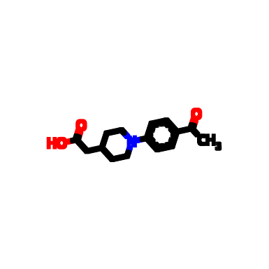 CC(=O)c1ccc(N2CCC(CC(=O)O)CC2)cc1